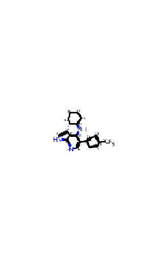 FC(F)(F)c1ccc(-c2cnc3[nH]ccc3c2NC2CCCCC2)cc1